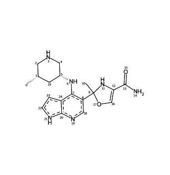 C[C@@H]1CNC[C@H](Nc2c(C3(C)NC(C(N)=O)=CO3)cnc3[nH]ccc23)C1